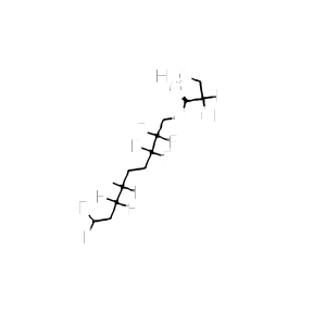 CCC(C)(F)C(=O)OCC(F)(F)C(F)(F)CCC(F)(F)C(F)(F)CC(F)F